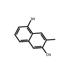 Cc1cc2c(S)cccc2cc1C#N